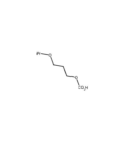 CC(C)OCCCOC(=O)O